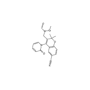 CON(C=O)CC1=C(n2ccccc2=O)c2cc(C#N)ccc2OC1(C)C